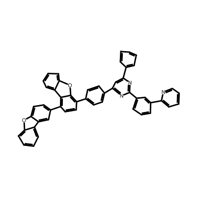 c1ccc(-c2cc(-c3ccc(-c4ccc(-c5ccc6oc7ccccc7c6c5)c5c4oc4ccccc45)cc3)nc(-c3cccc(-c4ccccn4)c3)n2)cc1